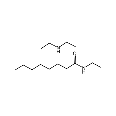 CCCCCCCC(=O)NCC.CCNCC